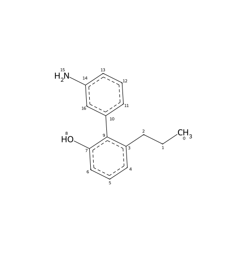 CCCc1cccc(O)c1-c1cccc(N)c1